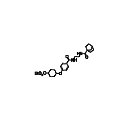 CCOC(=O)[C@H]1CC[C@@H](Oc2ccc(C(=O)NCCNC(=O)C34CCC(CC3)C4)cc2)CC1